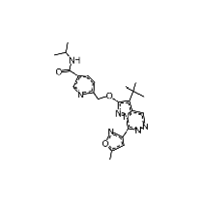 Cc1cc(-c2nncc3c(C(C)(C)C)c(OCc4ccc(C(=O)NC(C)C)cn4)nn23)no1